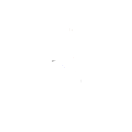 CC[C@@H](c1ccc(Br)cc1)N1CC[C@](CC)(c2ccccc2)OC1=O